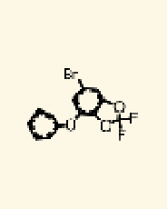 FC1(F)Oc2cc(Br)cc(Oc3ccccc3)c2O1